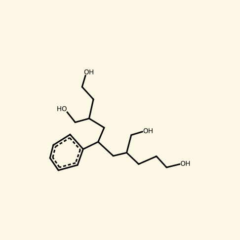 OCCCC(CO)CC(CC(CO)CCO)c1ccccc1